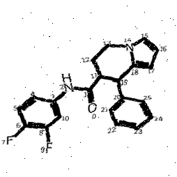 O=C(Nc1ccc(F)c(F)c1)C1CCn2cccc2C1c1ccccc1